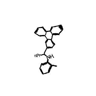 CCCC(Nc1ccccc1C)c1ccc2c3ccccc3c3ccccc3c2c1